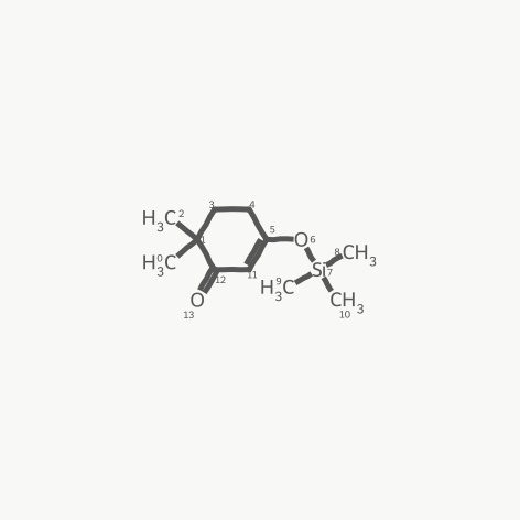 CC1(C)CCC(O[Si](C)(C)C)=CC1=O